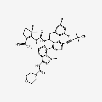 Cn1nc(NC(=O)N2CCOCC2)c2cccc(-c3ccc(C#CC(C)(C)O)nc3C(Cc3cc(F)cc(F)c3)NC(=O)NC3=C(C(=N)C(F)(F)F)CCC3(F)F)c21